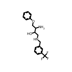 NC(COc1ccccc1)C(O)CNCc1cccc(C(F)(F)F)c1